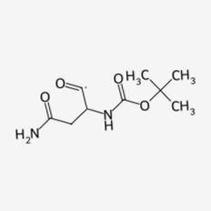 CC(C)(C)OC(=O)NC([C]=O)CC(N)=O